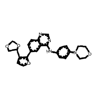 c1nc(Nc2ccc(N3CCOCC3)cc2)c2cc(-c3occc3C3COCO3)ccc2n1